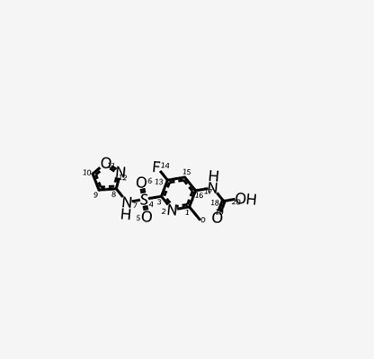 Cc1nc(S(=O)(=O)Nc2ccon2)c(F)cc1NC(=O)O